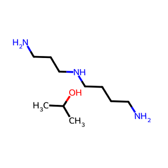 CC(C)O.NCCCCNCCCN